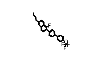 CCCCc1ccc2c(F)c(-c3ccc(-c4ccc(OC(F)(F)F)cc4)cc3)ccc2c1